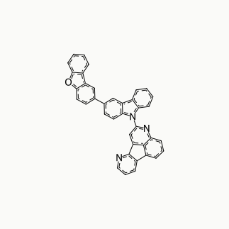 c1cnc2c(c1)-c1cccc3nc(-n4c5ccccc5c5cc(-c6ccc7oc8ccccc8c7c6)ccc54)cc-2c13